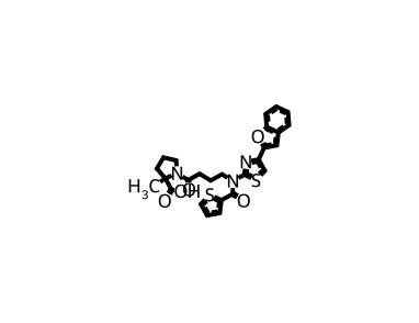 CC1(C(=O)O)CCCN1C(=O)CCCN(C(=O)c1cccs1)c1nc(-c2cc3ccccc3o2)cs1